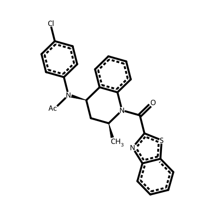 CC(=O)N(c1ccc(Cl)cc1)[C@@H]1C[C@H](C)N(C(=O)c2nc3ccccc3s2)c2ccccc21